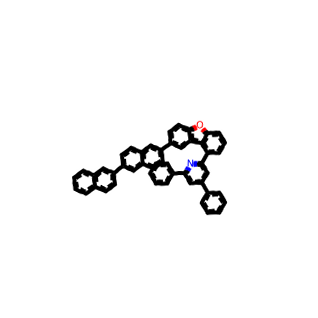 c1ccc(-c2cc(-c3ccccc3)nc(-c3cccc4oc5ccc(-c6ccc7cc(-c8ccc9ccccc9c8)ccc7c6)cc5c34)c2)cc1